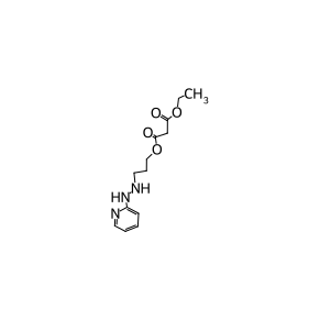 CCOC(=O)CC(=O)OCCCNNc1ccccn1